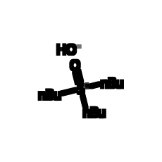 CCCC[S+](=O)(CCCC)CCCC.[OH-]